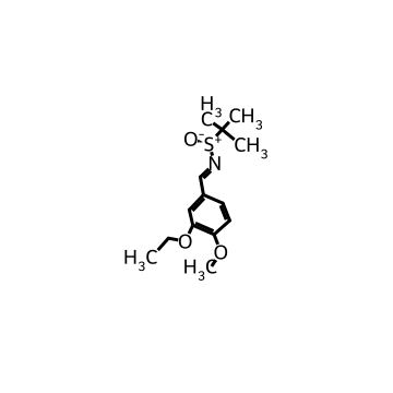 CCOc1cc(/C=N/[S@+]([O-])C(C)(C)C)ccc1OC